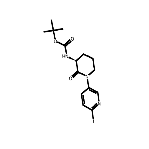 CC(C)(C)OC(=O)N[C@H]1CCCN(c2ccc(I)nc2)C1=O